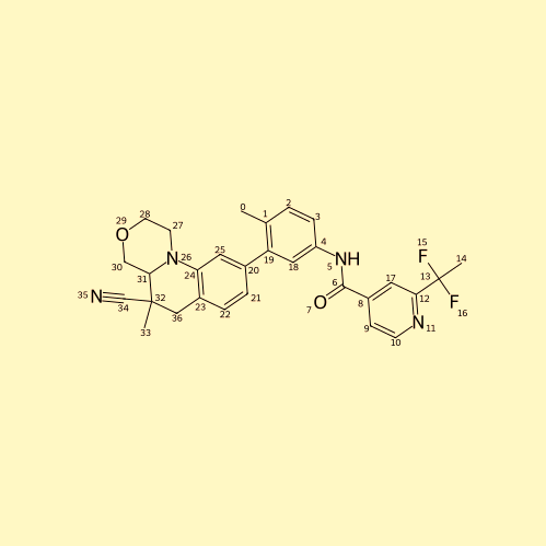 Cc1ccc(NC(=O)c2ccnc(C(C)(F)F)c2)cc1-c1ccc2c(c1)N1CCOCC1C(C)(C#N)C2